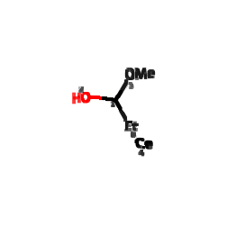 CCC(O)OC.[Ce]